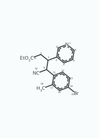 CCOC(=O)CC(c1cccnc1)C(C#N)c1ccc(Br)cc1C